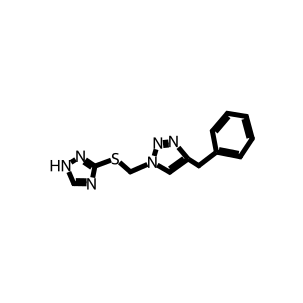 c1ccc(Cc2cn(CSc3nc[nH]n3)nn2)cc1